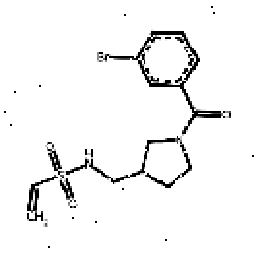 C=CS(=O)(=O)NCC1CCN(C(=O)c2cccc(Br)c2)C1